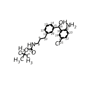 CC(C)(C)OC(=O)NCCCc1cccc(C(O)c2cc(Cl)ccc2N)c1